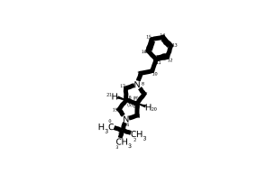 CC(C)(C)N1C[C@H]2CN(CCc3ccccc3)C[C@H]2C1